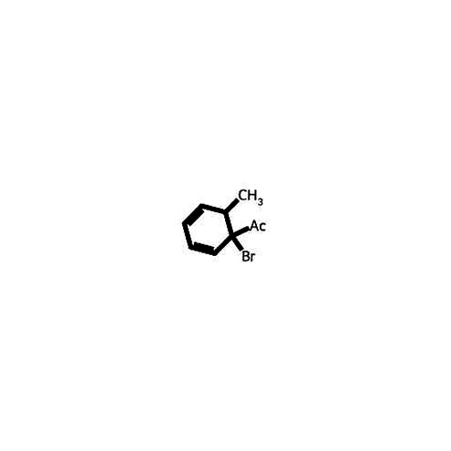 CC(=O)C1(Br)C=CC=CC1C